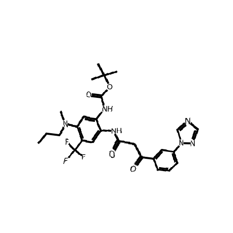 CCCN(C)c1cc(NC(=O)OC(C)(C)C)c(NC(=O)CC(=O)c2cccc(-n3cncn3)c2)cc1C(F)(F)F